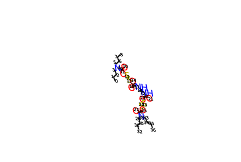 CCCCN(CCCC)C(=O)OSSOC(=O)NCNC(=O)OSSOC(=O)N(CCCC)CCCC